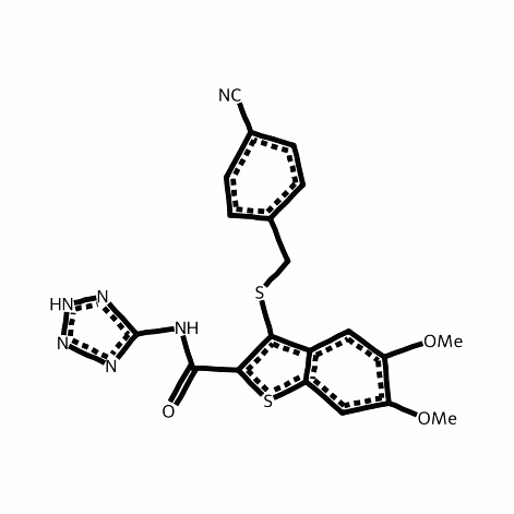 COc1cc2sc(C(=O)Nc3nn[nH]n3)c(SCc3ccc(C#N)cc3)c2cc1OC